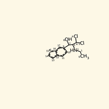 CCNC(C(Cl)Cl)C(O)c1ccc2ccsc2c1